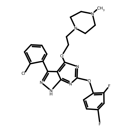 CN1CCN(CCOc2nc(Oc3ccc(F)cc3F)nc3[nH]nc(-c4ccccc4Cl)c23)CC1